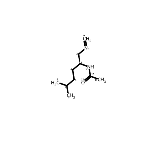 C=NC[C@H](CCC(C)C)NC(C)=O